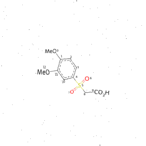 COc1ccc(S(=O)(=O)CC(=O)O)cc1OC